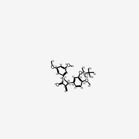 C=C1C(=O)N(c2cc(OC)cc(OC)c2)[C@H]1c1ccc(OC)c(O[Si](C)(C)C(C)(C)C)c1